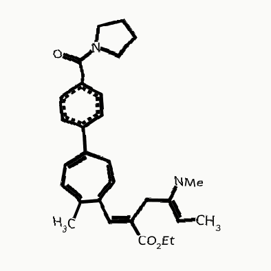 C/C=C(/C/C(=C\C1=C=CC(c2ccc(C(=O)N3CCCC3)cc2)=CC=C1C)C(=O)OCC)NC